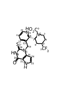 O=C(O)N1CC[C@@H](C(F)(F)F)C[C@@H]1c1ncccc1Cn1c(=S)[nH]c(=O)c2[nH]ccc21